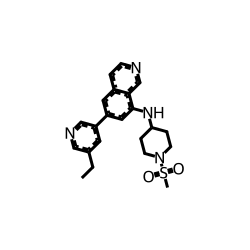 CCc1cncc(-c2cc(NC3CCN(S(C)(=O)=O)CC3)c3cnccc3c2)c1